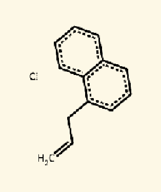 C=CCc1cccc2ccccc12.[C]